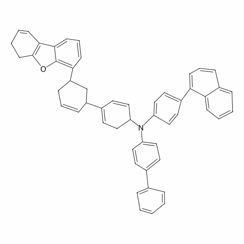 C1=Cc2c(oc3c(C4CC=CC(C5=CCC(N(c6ccc(-c7ccccc7)cc6)c6ccc(-c7cccc8ccccc78)cc6)C=C5)C4)cccc23)CC1